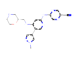 Cn1cc(-c2cnc(Nc3cnc(C#N)cn3)cc2NC[C@@H]2CNCCO2)cn1